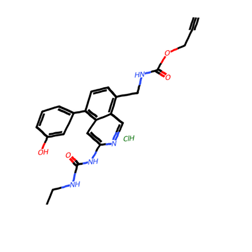 C#CCOC(=O)NCc1ccc(-c2cccc(O)c2)c2cc(NC(=O)NCC)ncc12.Cl